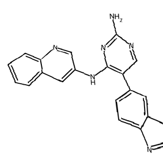 Nc1ncc(-c2ccc3ncsc3c2)c(Nc2cnc3ccccc3c2)n1